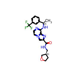 C[C@@H](Nc1nccn2cc(C(=O)NC[C@H]3CCOC3)nc12)c1cccc(C(F)(F)F)c1